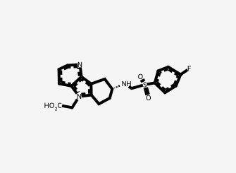 O=C(O)Cn1c2c(c3ncccc31)C[C@H](NCS(=O)(=O)c1ccc(F)cc1)CC2